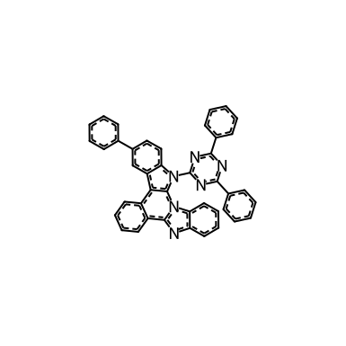 c1ccc(-c2ccc3c(c2)c2c4ccccc4c4nc5ccccc5n4c2n3-c2nc(-c3ccccc3)nc(-c3ccccc3)n2)cc1